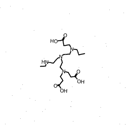 CCCN(CCC(=O)O)CCN(CCNCC)CCN(CCC(=O)O)CCC(=O)O